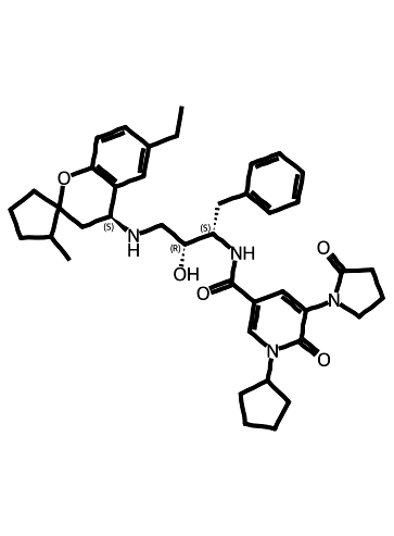 CCc1ccc2c(c1)[C@@H](NC[C@@H](O)[C@H](Cc1ccccc1)NC(=O)c1cc(N3CCCC3=O)c(=O)n(C3CCCC3)c1)CC1(CCCC1C)O2